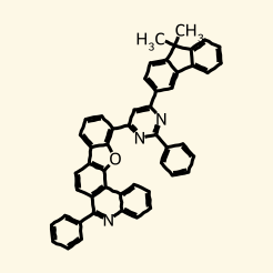 CC1(C)c2ccccc2-c2cc(-c3cc(-c4cccc5c4oc4c5ccc5c(-c6ccccc6)nc6ccccc6c54)nc(-c4ccccc4)n3)ccc21